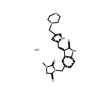 CN1CC(=O)N(Cc2ccc3c(c2)C(=Cc2cc(CN4CCOCC4)c[nH]2)C(=O)N3)C1=O.Cl